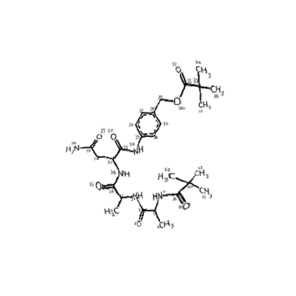 CC(NC(=O)C(C)NC(=O)C(C)(C)C)C(=O)NC(CC(N)=O)C(=O)Nc1ccc(COC(=O)C(C)(C)C)cc1